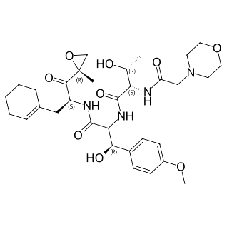 COc1ccc([C@@H](O)C(NC(=O)[C@@H](NC(=O)CN2CCOCC2)[C@@H](C)O)C(=O)N[C@@H](CC2=CCCCC2)C(=O)[C@@]2(C)CO2)cc1